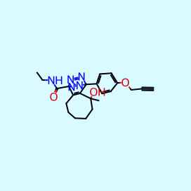 C#CCOc1ccc(C23N=NC(C(=O)NCC)(N=N2)C2=C3C(C)(O)CCCCC2)cc1